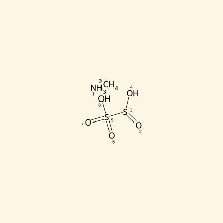 C.N.O=S(O)S(=O)(=O)O